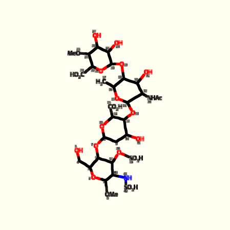 COC1OC(CO)C(OC2CC(O)C(OC3OC(C)C(OC4OC(C(=O)O)C(OC)C(O)C4O)C(O)C3NC(C)=O)C(C(=O)O)O2)C(OS(=O)(=O)O)C1NS(=O)(=O)O